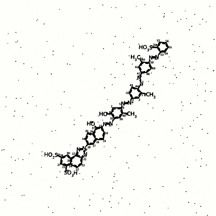 Cc1cc(N=Nc2cc(O)c(N=Nc3ccc4cc(-n5nc6ccc7c(S(=O)(=O)O)cc(S(=O)(=O)O)cc7c6n5)ccc4c3O)cc2C)ccc1N=Nc1ccc(N=Nc2ccccc2S(=O)(=O)O)c(C)c1